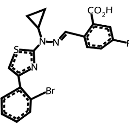 O=C(O)c1cc(F)ccc1C=NN(c1nc(-c2ccccc2Br)cs1)C1CC1